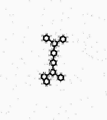 c1ccc(-c2cc(-c3ccc(-c4ccc(-c5cc(-c6ccccc6)nc(-c6ccccc6)n5)cc4)cn3)nc(-c3nccc4ccccc34)c2)cc1